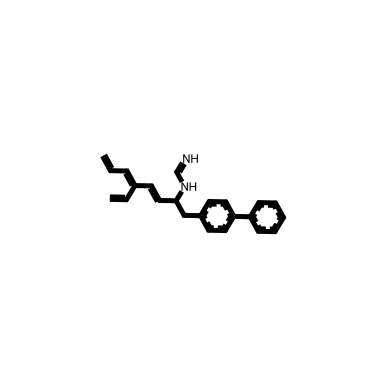 C=C/C=C(C=C)/C=C/C(Cc1ccc(-c2ccccc2)cc1)NC=N